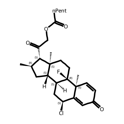 CCCCCC(=O)OCC(=O)[C@H]1[C@H](C)C[C@H]2[C@@H]3C[C@H](Cl)C4=CC(=O)C=C[C@]4(C)[C@@]3(F)CC[C@@]21C